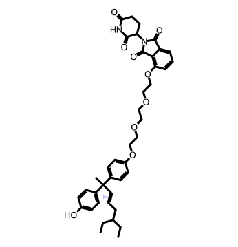 CCC(CC)C/C=C/C(C)(c1ccc(O)cc1)c1ccc(OCCOCCOCCOc2cccc3c2C(=O)N(C2CCC(=O)NC2=O)C3=O)cc1